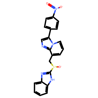 O=[N+]([O-])c1ccc(-c2cnc3c(C[S+]([O-])c4nc5ccccc5[nH]4)cccn23)cc1